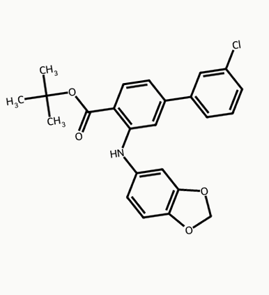 CC(C)(C)OC(=O)c1ccc(-c2cccc(Cl)c2)cc1Nc1ccc2c(c1)OCO2